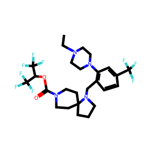 CCN1CCN(c2cc(C(F)(F)F)ccc2CN2CCCC23CCN(C(=O)OC(C(F)(F)F)C(F)(F)F)CC3)CC1